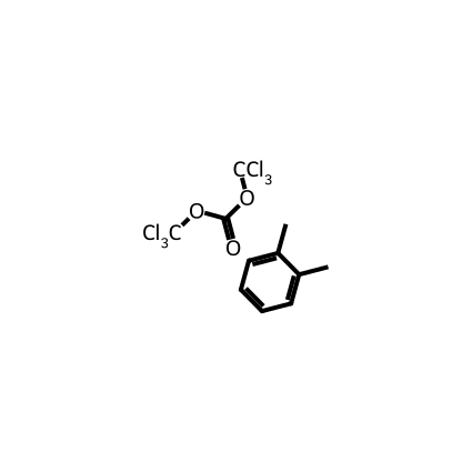 Cc1ccccc1C.O=C(OC(Cl)(Cl)Cl)OC(Cl)(Cl)Cl